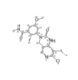 CCc1c(Cl)ncc2c1NC(=O)N(c1cc(OC)cc(C(=O)NC)c1F)C2